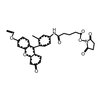 C=COc1ccc2c(-c3ccc(NC(=O)CCCC(=O)ON4C(=O)CCC4=O)cc3C)c3ccc(=O)cc-3oc2c1